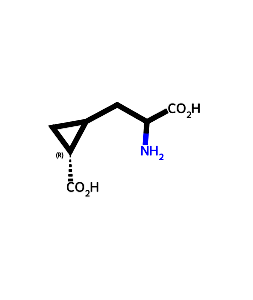 NC(CC1C[C@H]1C(=O)O)C(=O)O